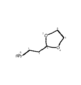 CCCCC[C]1OCCO1